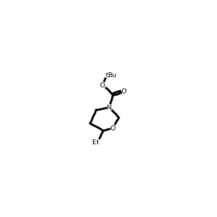 CCC1CCN(C(=O)OC(C)(C)C)CO1